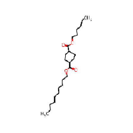 CCCCCCCCCCOC(=O)C1CCC(C(=O)OCCCCCC)CC1